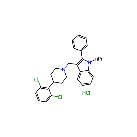 CCCn1c(-c2ccccc2)c(CN2CCC(c3c(Cl)cccc3Cl)CC2)c2ccccc21.Cl